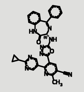 Cc1nc(-c2cnc(C3CC3)nc2)c(-c2nnc(N[C@H]3N=C(c4ccccc4)c4ccccc4NC3=O)o2)cc1C#N